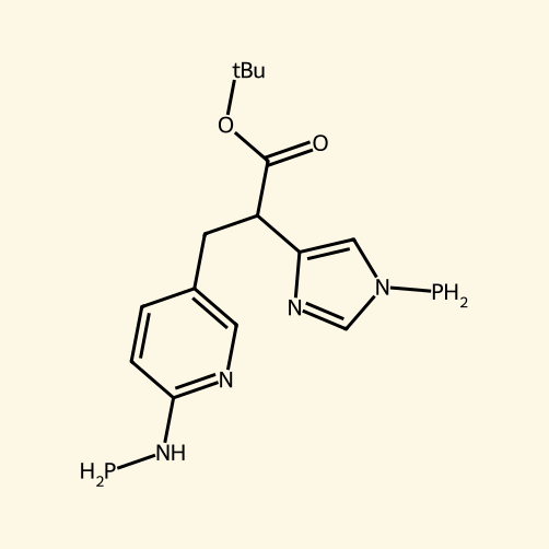 CC(C)(C)OC(=O)C(Cc1ccc(NP)nc1)c1cn(P)cn1